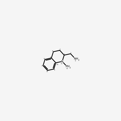 NCC1CCc2ccccc2N1P